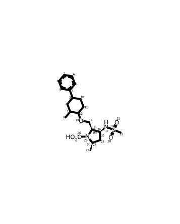 CC1CC(c2ccccc2)CCC1OC[C@H]1[C@@H](NS(C)(=O)=O)C[C@@H](C)N1C(=O)O